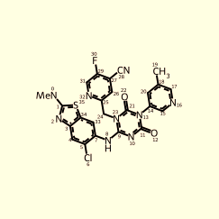 CNc1nc2cc(Cl)c(Nc3nc(=O)n(-c4cncc(C)c4)c(=O)n3Cc3cc(C#N)c(F)cn3)cc2s1